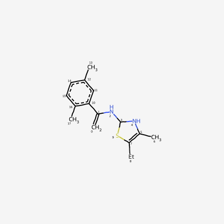 C=C(NC1NC(C)=C(CC)S1)c1cc(C)ccc1C